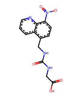 O=C(O)CNC(=O)NCc1ccc([N+](=O)[O-])c2ncccc12